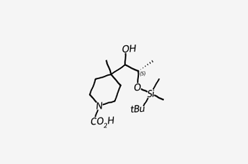 C[C@H](O[Si](C)(C)C(C)(C)C)C(O)C1(C)CCN(C(=O)O)CC1